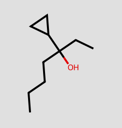 CCCCC(O)(CC)C1CC1